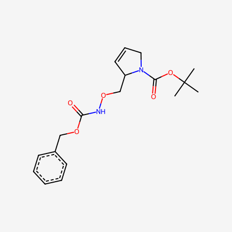 CC(C)(C)OC(=O)N1CC=CC1CONC(=O)OCc1ccccc1